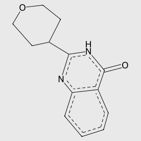 O=c1[nH]c(C2CCOCC2)nc2ccccc12